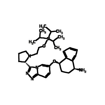 CC(C)[Si](OCCN1CCC[C@H]1c1nnc2ccc(O[C@@H]3CC[C@H](N)c4ccccc43)cn12)(C(C)C)C(C)C